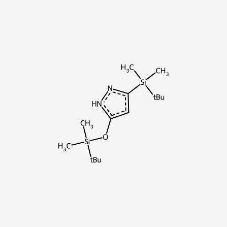 CC(C)(C)[Si](C)(C)Oc1cc([Si](C)(C)C(C)(C)C)n[nH]1